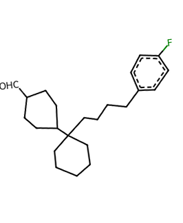 O=CC1CCC(C2(CCCCc3ccc(F)cc3)CCCCC2)CC1